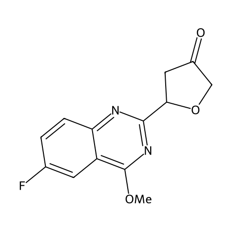 COc1nc(C2CC(=O)CO2)nc2ccc(F)cc12